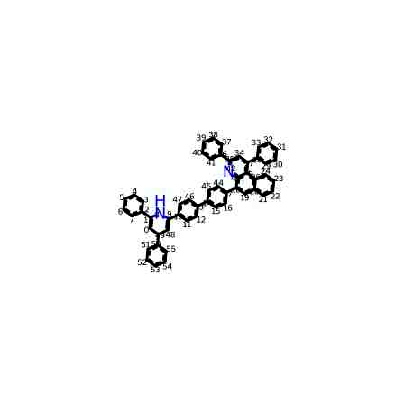 C1=C(c2ccccc2)NC(c2ccc(-c3ccc(-c4cc5ccccc5c5c(-c6ccccc6)cc(-c6ccccc6)nc45)cc3)cc2)=CC1c1ccccc1